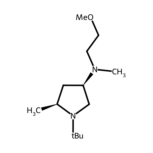 COCCN(C)[C@@H]1C[C@H](C)N(C(C)(C)C)C1